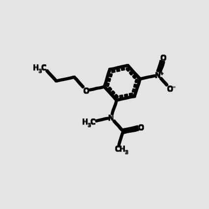 CCCOc1ccc([N+](=O)[O-])cc1N(C)C(C)=O